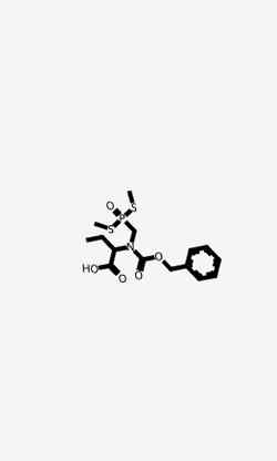 CCC(C(=O)O)N(CP(=O)(SC)SC)C(=O)OCc1ccccc1